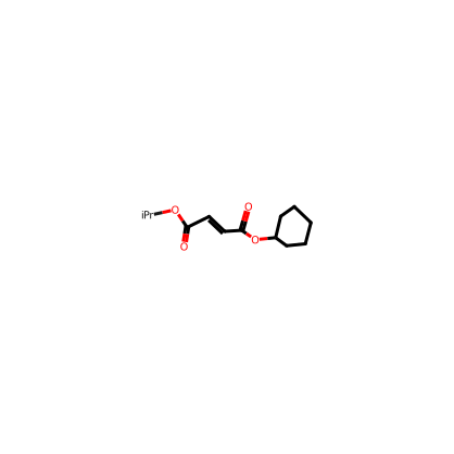 CC(C)OC(=O)/C=C/C(=O)OC1CCCCC1